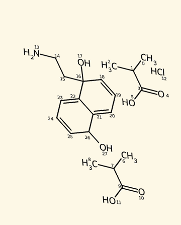 CC(C)C(=O)O.CC(C)C(=O)O.Cl.NCCC1(O)C=CC=C2C1=CC=CC2O